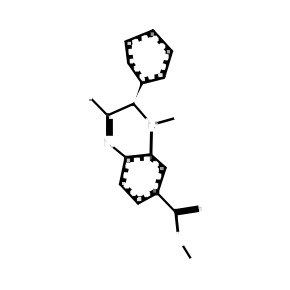 COC(=O)c1ccc2c(c1)N(C)[C@H](c1ccccc1)C(Cl)=N2